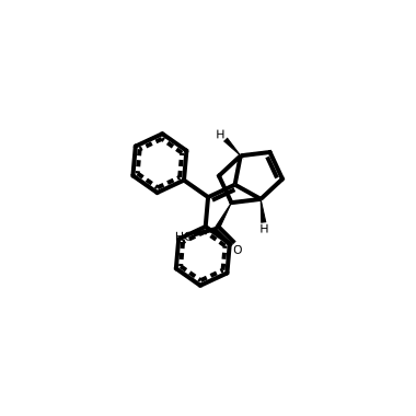 O=C(O)[C@H]1C[C@@H]2C=C[C@H]1C2=C(c1ccccc1)c1ccccc1